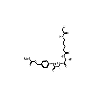 CSC(=O)OCc1ccc(NC(=O)[C@@H](C)NC(=O)[C@H](NC(=O)CCCCNC(=O)CCl)C(C)C)cc1